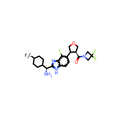 N[C@H](c1nc2c(F)c(C3COC[C@H]3C(=O)N3CC(F)(F)C3)ccc2[nH]1)C1CCC(C(F)(F)F)CC1